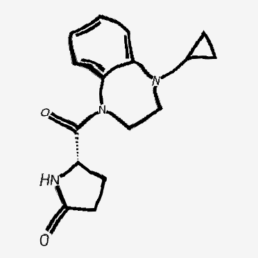 O=C1CC[C@@H](C(=O)N2CCN(C3CC3)c3ccccc32)N1